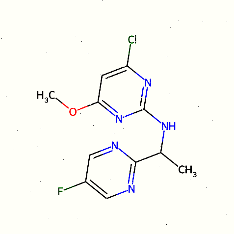 COc1cc(Cl)nc(NC(C)c2ncc(F)cn2)n1